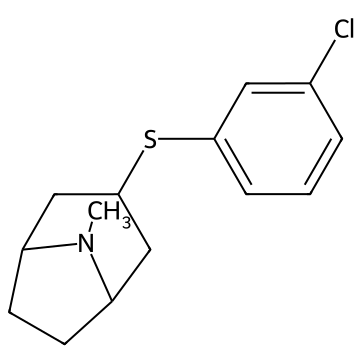 CN1C2CCC1CC(Sc1cccc(Cl)c1)C2